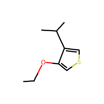 CCOc1cscc1C(C)C